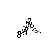 COC(=O)[C@H]1CC[C@H](OC(F)(C(=O)Cc2ccc3nc(Nc4cccc5ccccc45)oc3c2F)N2CCCC2)CC1